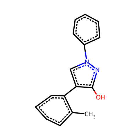 Cc1ccccc1-c1cn(-c2ccccc2)nc1O